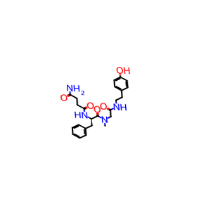 CN(CC(=O)NCCc1ccc(O)cc1)C(=O)[C@@H](Cc1ccccc1)NC(=O)CCC(N)=O